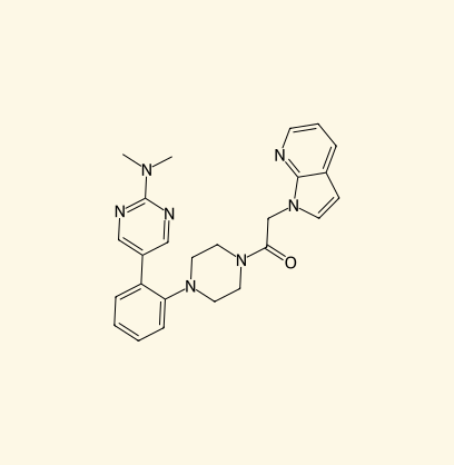 CN(C)c1ncc(-c2ccccc2N2CCN(C(=O)Cn3ccc4cccnc43)CC2)cn1